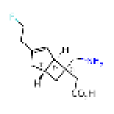 NC[C@]1(CC(=O)O)C[C@@H]2CC(CCF)=C[C@H]21